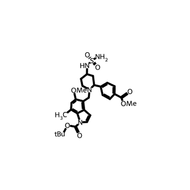 COC(=O)c1ccc(C2CC(NS(N)(=O)=O)CCN2Cc2c(OC)cc(C)c3c2ccn3C(=O)OC(C)(C)C)cc1